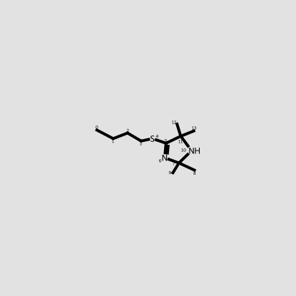 CCCCSC1=NC(C)(C)NC1(C)C